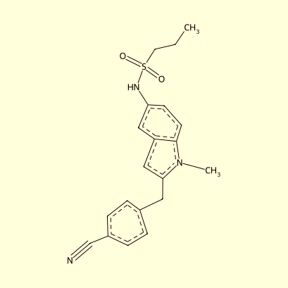 CCCS(=O)(=O)Nc1ccc2c(c1)cc(Cc1ccc(C#N)cc1)n2C